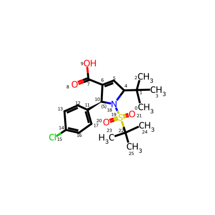 CC(C)(C)C1C=C(C(=O)O)[C@H](c2ccc(Cl)cc2)N1S(=O)(=O)C(C)(C)C